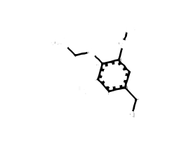 Br.CCC[CH2][Mg][c]1cc(CN)ccc1OCOC